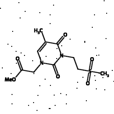 COC(=O)Cn1cc(C)c(=O)n(CCS(C)(=O)=O)c1=O